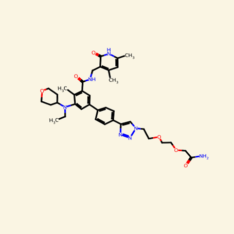 CCN(c1cc(-c2ccc(-c3cn(CCOCCOCC(N)=O)nn3)cc2)cc(C(=O)NCc2c(C)cc(C)[nH]c2=O)c1C)C1CCOCC1